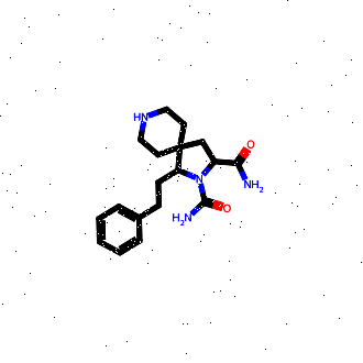 NC(=O)C1CC2(CCNCC2)C(CCc2ccccc2)N1C(N)=O